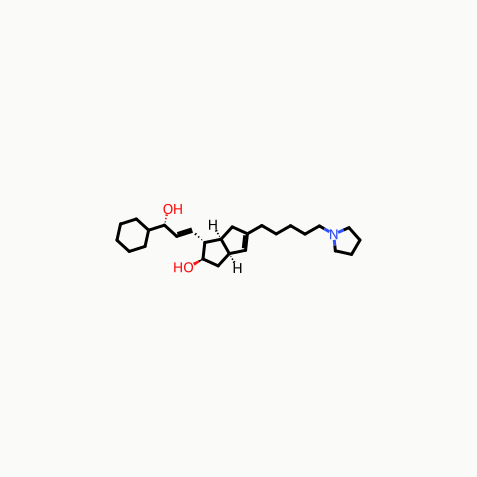 O[C@H](/C=C/[C@@H]1[C@H]2CC(CCCCCN3CCCC3)=C[C@H]2C[C@H]1O)C1CCCCC1